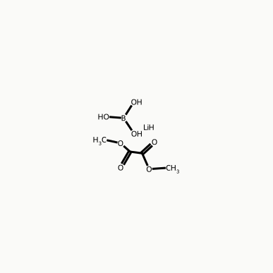 COC(=O)C(=O)OC.OB(O)O.[LiH]